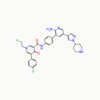 Nc1ncc(-c2cnn(C3CCNCC3)c2)cc1-c1ccc(NC(=O)c2cn(CCF)cc(-c3ccc(F)cc3)c2=O)cc1